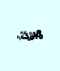 C=CCCC(CCC=C)Oc1ccc(-c2nc3c4ccccc4c4ccccc4c3n2C)cc1